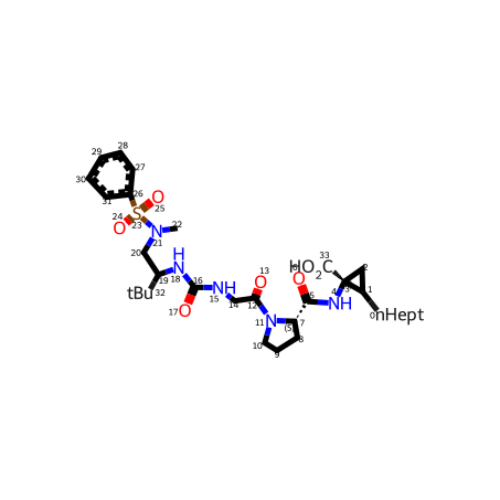 CCCCCCCC1C[C@]1(NC(=O)[C@@H]1CCCN1C(=O)CNC(=O)NC(CN(C)S(=O)(=O)c1ccccc1)C(C)(C)C)C(=O)O